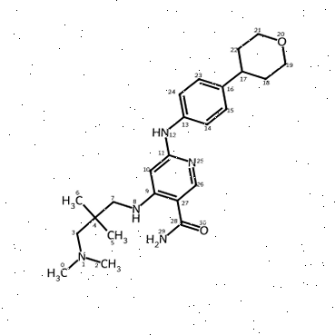 CN(C)CC(C)(C)CNc1cc(Nc2ccc(C3CCOCC3)cc2)ncc1C(N)=O